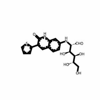 O=C[C@@H](Nc1ccc2cc(-c3cccs3)c(=O)[nH]c2c1)[C@H](O)[C@@H](O)[C@@H](O)CO